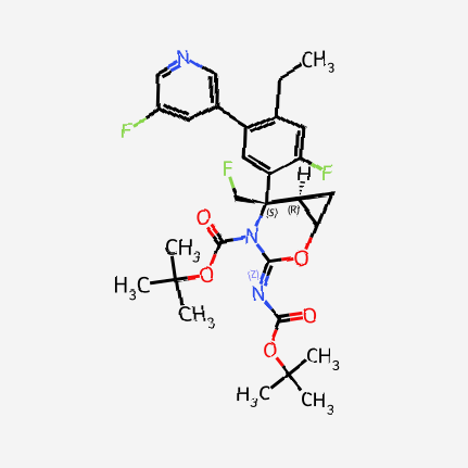 CCc1cc(F)c([C@]2(CF)[C@H]3CC3O/C(=N\C(=O)OC(C)(C)C)N2C(=O)OC(C)(C)C)cc1-c1cncc(F)c1